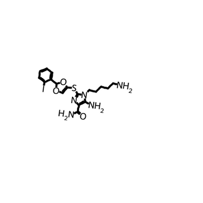 NCCCCCn1c(SC2=COC(c3ccccc3I)O2)nc(C(N)=O)c1N